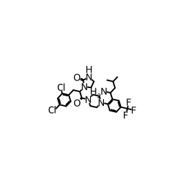 CC(C)CC(N)c1cc(C(F)(F)F)ccc1N1CCN(C(=O)C(Cc2ccc(Cl)cc2Cl)N2CCNC2=O)CC1